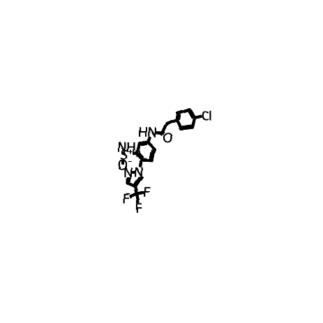 N[S+]([O-])c1cc(NC(=O)Cc2ccc(Cl)cc2)ccc1-n1cc(C(F)(F)F)cn1